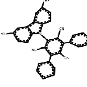 CC(C)(C)c1ccc2c(c1)c1cc(C(C)(C)C)ccc1n2-c1c(C#N)c(-c2ccccc2)c(C#N)c(-c2ccccc2)c1C#N